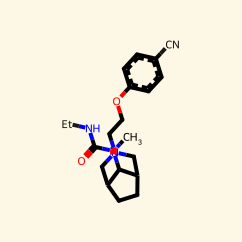 CCNC(=O)N(C)C1C2CCC1CN(CCOc1ccc(C#N)cc1)C2